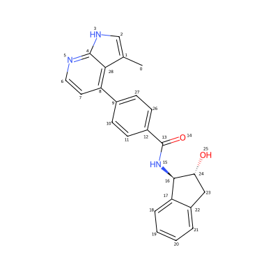 Cc1c[nH]c2nccc(-c3ccc(C(=O)N[C@@H]4c5ccccc5C[C@H]4O)cc3)c12